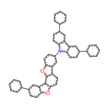 c1ccc(-c2ccc3oc4ccc5c6cc(-n7c8ccc(-c9ccccc9)cc8c8cc(-c9ccccc9)ccc87)ccc6oc5c4c3c2)cc1